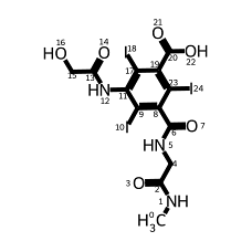 CNC(=O)CNC(=O)c1c(I)c(NC(=O)CO)c(I)c(C(=O)O)c1I